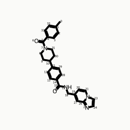 Cc1ccc(C(=O)N2CCC(c3ccc(C(=O)NCc4ccn5ccnc5c4)cc3)CC2)cc1